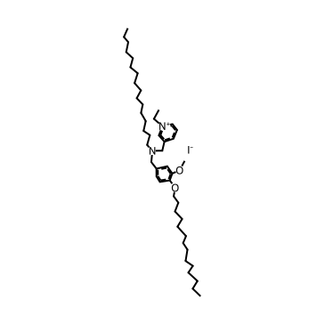 CCCCCCCCCCCCCCCCN(Cc1ccc(OCCCCCCCCCCCCCC)c(OC)c1)Cc1ccc[n+](CC)c1.[I-]